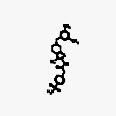 Cc1cc(C)cc(CN2CCc3c(sc(NC(=O)Cc4ccc(S(N)(=O)=O)cc4)c3C#N)C2)c1